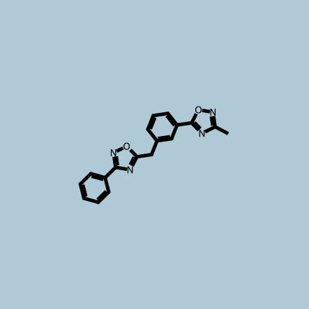 Cc1noc(-c2cccc(Cc3nc(-c4ccccc4)no3)c2)n1